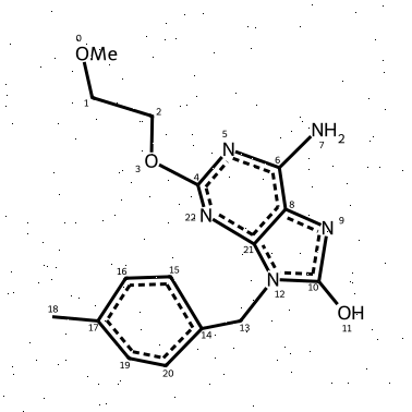 COCCOc1nc(N)c2nc(O)n(Cc3ccc(C)cc3)c2n1